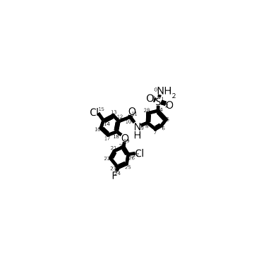 NS(=O)(=O)c1cccc(NC(=O)c2cc(Cl)ccc2Oc2ccc(F)cc2Cl)c1